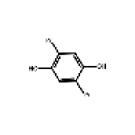 CC(C)c1cc(O)c(C(C)C)cc1O